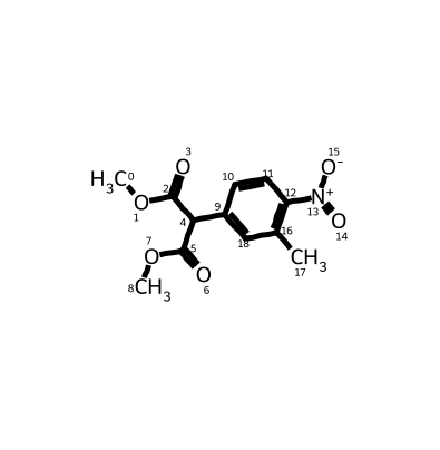 COC(=O)C(C(=O)OC)c1ccc([N+](=O)[O-])c(C)c1